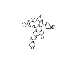 CCOc1cc(C)c(S(=O)(=O)N2CCCCC2)cc1C1=N[C@@H](c2ccc(Cl)cc2)[C@@H](c2ccc(Cl)cc2)N1C(=O)N1CCN(CC(=O)N2CCOCC2)CC1.Cl